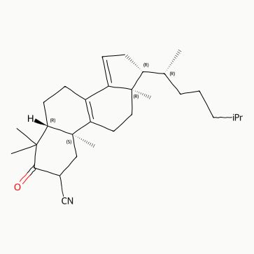 CC(C)CCC[C@@H](C)[C@H]1CC=C2C3=C(CC[C@@]21C)[C@@]1(C)CC(C#N)C(=O)C(C)(C)[C@@H]1CC3